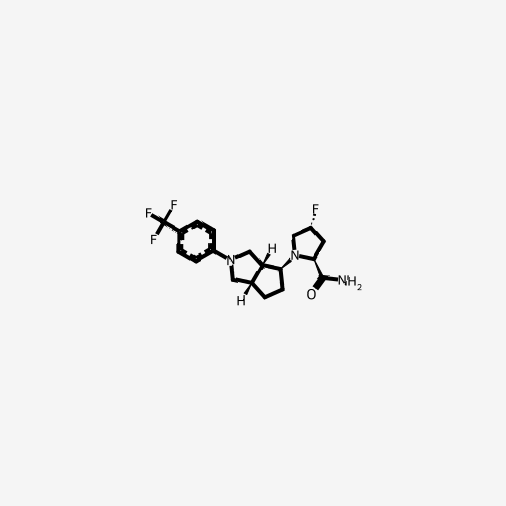 NC(=O)[C@@H]1C[C@@H](F)CN1[C@H]1CC[C@@H]2CN(c3ccc(C(F)(F)F)cc3)C[C@@H]21